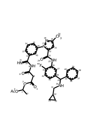 CC(=O)OC(C)OC(=O)CC(=O)NC(=N)c1cccc(-n2nc(C(F)(F)F)cc2C(=O)Nc2cc(C(NCC3CC3)c3ccccc3)ccc2F)c1